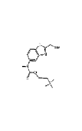 CN(C(=O)OCC[Si](C)(C)C)c1ccc2oc(CC(C)(C)C)nc2c1